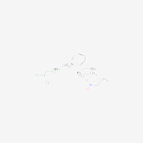 CC(C)CC(C)(C)C.CC(Cl)(Cl)Cl.CCCCC.CC[N+](=O)[O-].ClCC(Cl)Cl.O=[N+]([O-])c1ccccc1